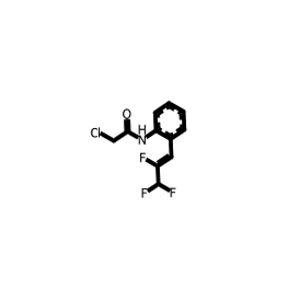 O=C(CCl)Nc1ccccc1C=C(F)C(F)F